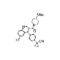 CSC1CCN(C(=O)c2cnc3ccc(Cl)cc3c2-c2ccc(C3(C#N)CC3)cc2)CC1